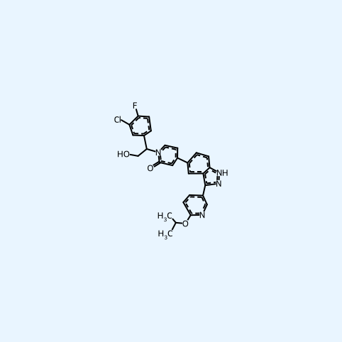 CC(C)Oc1ccc(-c2n[nH]c3ccc(-c4ccn(C(CO)c5ccc(F)c(Cl)c5)c(=O)c4)cc23)cn1